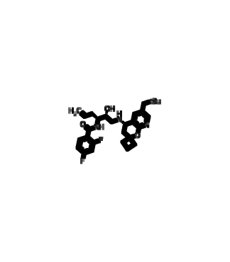 C=CC[C@H](NC(=O)c1ccc(F)cc1F)[C@H](O)CN[C@H]1CC2(CCC2)Oc2ncc(CC(C)(C)C)cc21